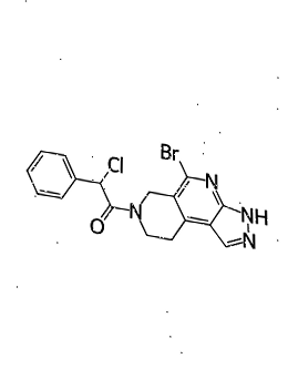 O=C(C(Cl)c1ccccc1)N1CCc2c(c(Br)nc3[nH]ncc23)C1